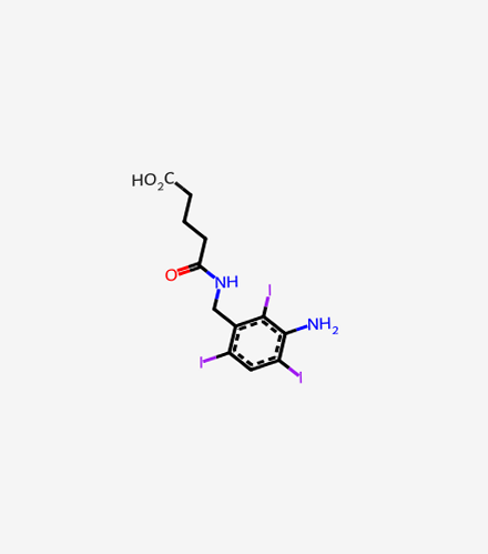 Nc1c(I)cc(I)c(CNC(=O)CCCC(=O)O)c1I